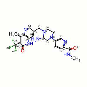 CNC(=O)c1ccc(N2CCN(Cc3cnc4c(C)c(C(F)(F)F)c(=O)[nH]c4c3)[C@H](N)C2)cn1